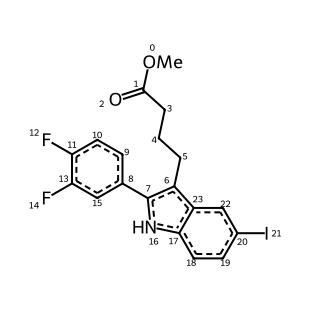 COC(=O)CCCc1c(-c2ccc(F)c(F)c2)[nH]c2ccc(I)cc12